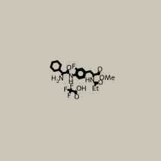 CCC(=O)NC(Cc1ccc(NC(=O)C(N)C2CCCCC2)c(F)c1)C(=O)OC.O=C(O)C(F)(F)F